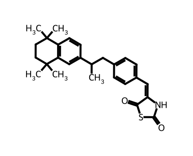 CC(Cc1ccc(C=C2NC(=O)SC2=O)cc1)c1ccc2c(c1)C(C)(C)CCC2(C)C